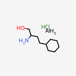 Cl.NC([CH]O)CCC1CCCCC1.[AlH3]